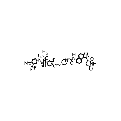 CC1(C)C(=O)N(c2ccc(C#N)c(C(F)(F)F)c2)C(S)N1c1ccc(OCCN2CCN(CC(=O)Nc3cccc4c3ccc3onc(C5CCC(=O)NC5=O)c34)CC2)c(F)c1